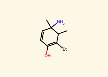 CCC1=C(O)C=CC(C)(N)C1C